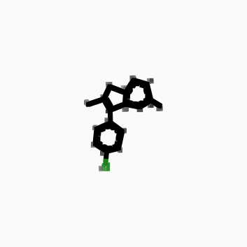 CC1=C(c2ccc(Cl)cc2)c2cc(C)ccc2C1